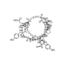 C[C@@H]1NC(=O)[C@@H]2CCCN2C(=O)[C@H](CC(N)=O)NC(=O)[C@@H]2CSSC[C@H](N)C(=O)N[C@H]3CSSC[C@H](NC1=O)C(=O)N[C@@H]([C@@H](C)O)C(=O)NCC(=O)N[C@H](C(=O)N[C@]1(Cc4ccc(O)cc4)OC1=O)CSSC[C@H](NC(=O)[C@H](Cc1ccc(O)cc1)NC(=O)[C@H](CCC(=O)O)NC3=O)C(=O)N2